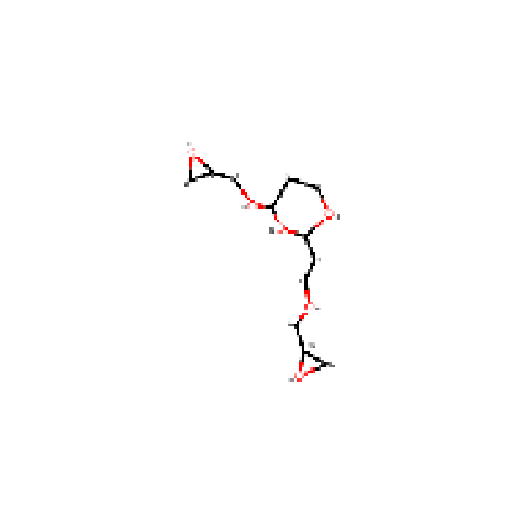 C(CC1OCCC(OCC2CO2)O1)OCC1CO1